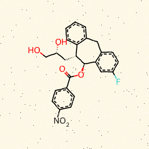 O=C(O[C@@H]1c2cc(F)ccc2Cc2ccccc2[C@H]1C[C@@H](O)CO)c1ccc([N+](=O)[O-])cc1